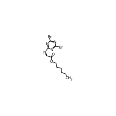 CCCCCCOC(=O)/C=N\c1nc(Br)nc(Br)n1